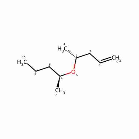 C=CC[C@@H](C)O[C@@H](C)CCC